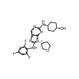 O[C@H]1CC[C@@H](Nc2ncc3nc(Nc4c(F)cc(F)cc4F)n([C@@H]4CCOC4)c3n2)CC1